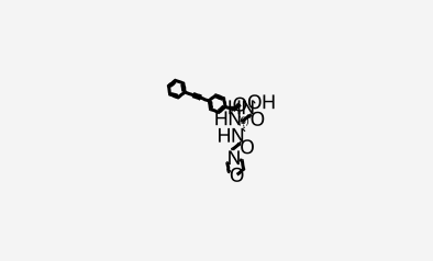 O=C(CN1CCOCC1)NC[C@H](NC(=O)c1ccc(C#Cc2ccccc2)cc1)C(=O)NO